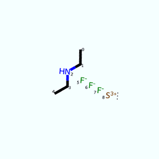 CCNCC.[F-].[F-].[F-].[S+3]